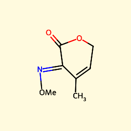 CO/N=C1/C(=O)OCC=C1C